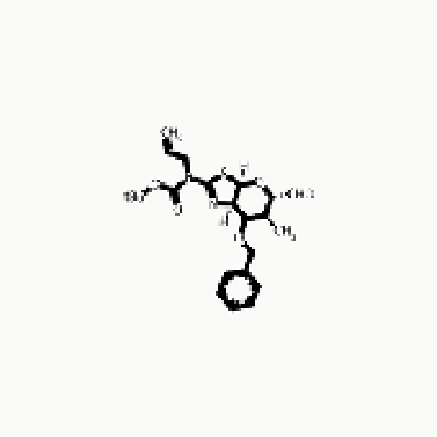 C=CCN(C(=O)OC(C)(C)C)C1=N[C@@H]2C(OCc3ccccc3)[C@H](C)[C@@H](C=O)O[C@@H]2S1